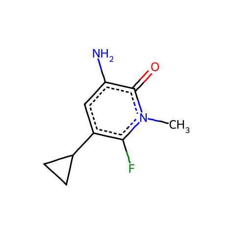 Cn1c(F)c(C2CC2)cc(N)c1=O